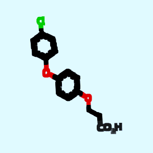 O=C(O)CCOc1ccc(Oc2ccc(Cl)cc2)cc1